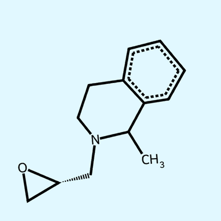 CC1c2ccccc2CCN1C[C@@H]1CO1